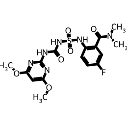 COc1cc(OC)nc(NC(=O)NS(=O)(=O)Nc2ccc(F)cc2C(=O)N(C)C)n1